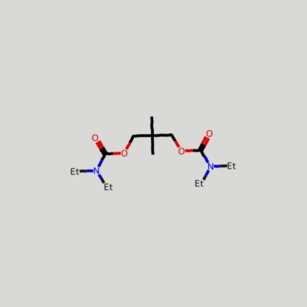 CCN(CC)C(=O)OCC(C)(C)COC(=O)N(CC)CC